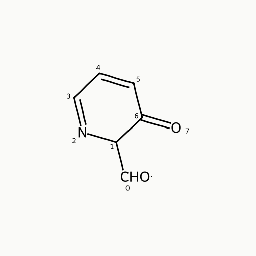 O=[C]C1N=CC=CC1=O